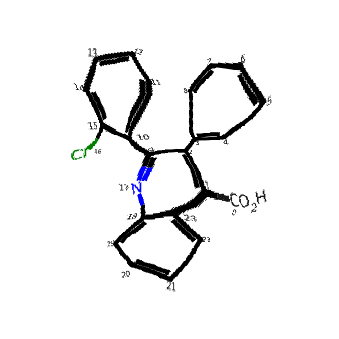 O=C(O)c1c(-c2ccccc2)c(-c2ccccc2Cl)nc2ccccc12